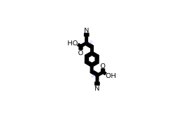 N#C/C(=C/c1ccc(/C=C(/C#N)C(=O)O)cc1)C(=O)O